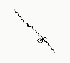 CCCCCCCC/C=C/CCCCCCCC(=O)OCCCCCCC